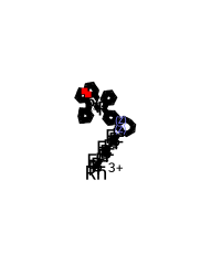 C1=C\CCCC\C=C/1.F[B-](F)(F)F.F[B-](F)(F)F.F[B-](F)(F)F.[Rh+3].c1ccc(C[C@@H](CP(c2ccccc2)c2ccccc2)P(c2ccccc2)c2ccccc2)cc1